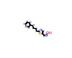 O/N=C\c1cnc(CCCCc2cccnc2)s1